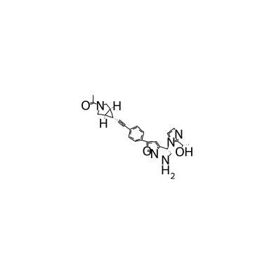 CC(=O)N1C[C@@H]2[C@@H](C#Cc3ccc(-c4cc([C@@H](CN)n5ccnc5[C@H](C)O)no4)cc3)[C@@H]2C1